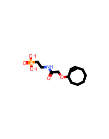 O=C(COC1C#CCCCCC1)NCCP(=O)(O)O